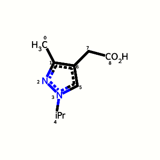 Cc1nn(C(C)C)cc1CC(=O)O